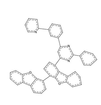 c1ccc(-c2nc(-c3cccc(-c4ccccn4)c3)cc(-c3ccc(-c4cccc5c4oc4ccccc45)c4oc5ccccc5c34)n2)cc1